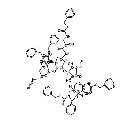 [N-]=[N+]=NC[C@@H]1C[C@@H](O)[C@@H](NC(=O)OCc2ccccc2)[C@@H](O[C@H]2[C@H](O[C@@H]3O[C@H](CO)[C@@H](O[C@H]4O[C@H]5CN(C(=O)OCc6ccccc6)C(c6ccccc6)O[C@H]5[C@H](O)[C@H]4NC(=O)OCc4ccccc4)[C@H]3O)[C@@H](O)[C@H](NC(=O)[C@H](O)CNC(=O)OCc3ccccc3)C[C@@H]2NC(=O)OCc2ccccc2)O1